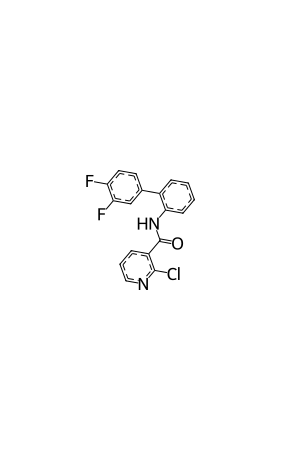 O=C(Nc1ccccc1-c1ccc(F)c(F)c1)c1cccnc1Cl